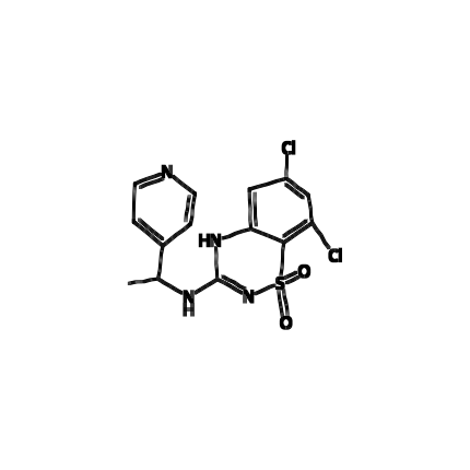 CC(NC1=NS(=O)(=O)c2c(Cl)cc(Cl)cc2N1)c1ccncc1